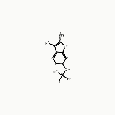 CCCc1oc2c(c1CCC)=CCC(OC(C)(F)F)C=2